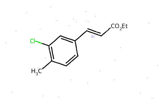 CCOC(=O)/C=C/c1ccc(C)c(Cl)c1